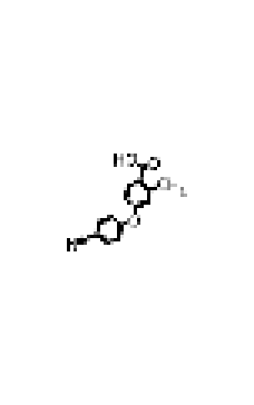 Cc1cc(Oc2ccc(C#N)cc2)ccc1C(=O)O